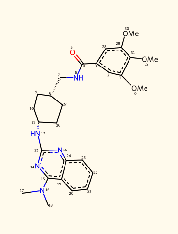 COc1cc(C(=O)NC[C@H]2CC[C@@H](Nc3nc(N(C)C)c4ccccc4n3)CC2)cc(OC)c1OC